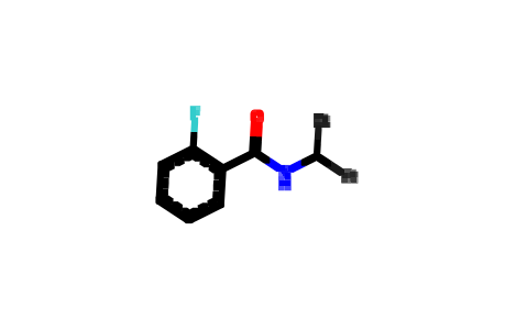 CCC(CC)NC(=O)c1ccccc1F